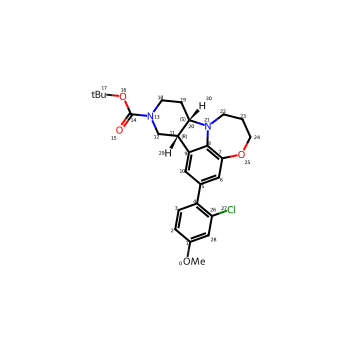 COc1ccc(-c2cc3c4c(c2)[C@@H]2CN(C(=O)OC(C)(C)C)CC[C@@H]2N4CCCO3)c(Cl)c1